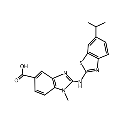 CC(C)c1ccc2nc(Nc3nc4cc(C(=O)O)ccc4n3C)sc2c1